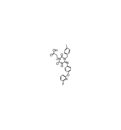 Cc1ccc(Cn2c(=O)n([C@H](C)CC(=O)O)c(=O)[nH]/c2=N\c2ccc(Oc3cccc(F)n3)cc2)cc1